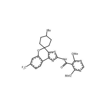 COc1ncnc(OC)c1C(=O)Nc1nc2c(s1)C1(CCC(C(C)(C)C)CC1)Oc1cc(C(F)(F)F)ccc1-2